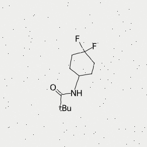 CC(C)(C)C(=O)NC1CCC(F)(F)CC1